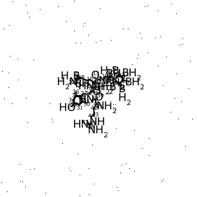 Bc1c(B)c(B)c(C(B)(B)CNC(=O)[C@](B)(CCCC(B)(B)N)NC(=O)[C@H](Cc2c(C)cc(O)cc2C)NC(=O)[C@H](N)CCCNC(=N)N)c(B)c1B